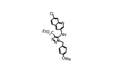 CCOC(=O)c1nnn(Cc2ccc(OC)cc2)c1Nc1cnc2cc(Cl)ccc2c1